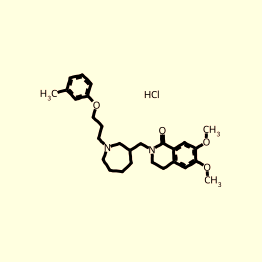 COc1cc2c(cc1OC)C(=O)N(CC1CCCCN(CCCOc3cccc(C)c3)C1)CC2.Cl